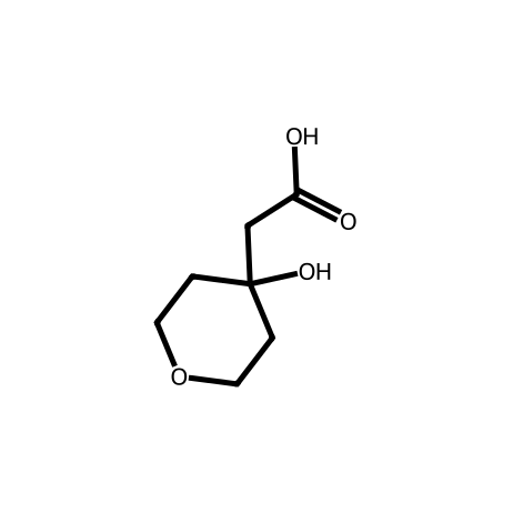 O=C(O)CC1(O)CCOCC1